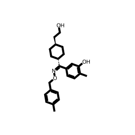 Cc1ccc(CON=C(c2ccc(C)c(O)c2)[C@H]2CC[C@H](CCO)CC2)cc1